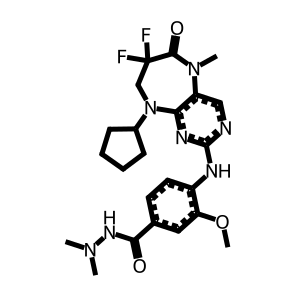 COc1cc(C(=O)NN(C)C)ccc1Nc1ncc2c(n1)N(C1CCCC1)CC(F)(F)C(=O)N2C